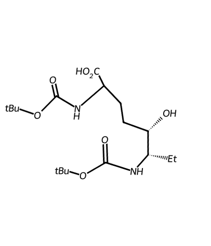 CC[C@H](NC(=O)OC(C)(C)C)[C@@H](O)CCC(NC(=O)OC(C)(C)C)C(=O)O